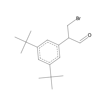 CC(C)(C)c1cc(C(C=O)CBr)cc(C(C)(C)C)c1